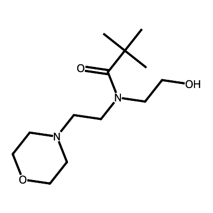 CC(C)(C)C(=O)N(CCO)CCN1CCOCC1